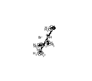 CC1=[N+](CCCCCC(=O)NCCCN(CCCCN(CCCNC(=O)OC(C)(C)C)C(=O)OC(C)(C)C)C(=O)OC(C)(C)C)c2ccccc2C1(C)C.[Br-]